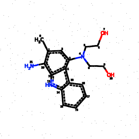 Cc1cc(N(CCO)CCO)c2c([nH]c3ccccc32)c1N